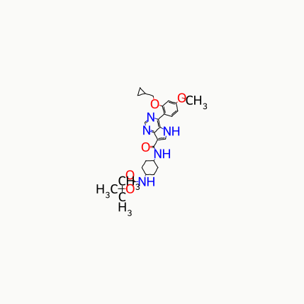 COc1ccc(-c2ncnc3c(C(=O)N[C@H]4CC[C@@H](NC(=O)OC(C)(C)C)CC4)c[nH]c23)c(OCC2CC2)c1